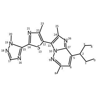 CCC(CC)c1cc(C)nn2c(-c3sc(-c4ncnn4C)nc3C)c(C)nc12